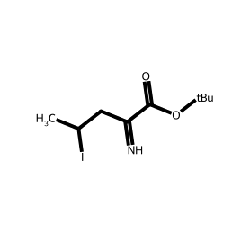 CC(I)CC(=N)C(=O)OC(C)(C)C